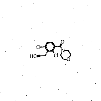 C#CCc1c(Cl)ccc(C(=O)N2CCOCC2)c1Cl